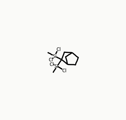 C[Si](Cl)(Cl)C1([Si](C)(Cl)Cl)CC2CCC1C2